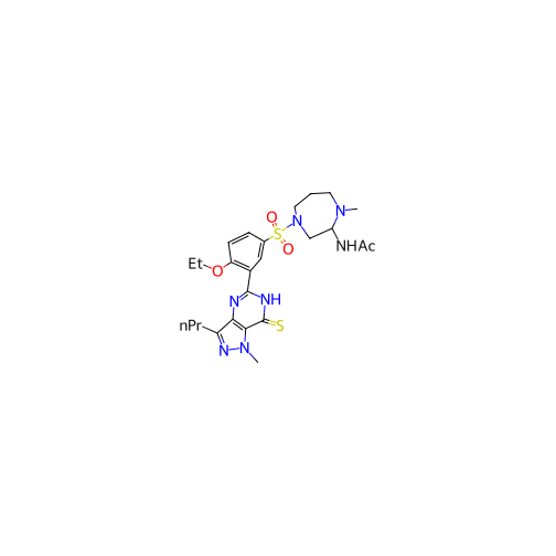 CCCc1nn(C)c2c(=S)[nH]c(-c3cc(S(=O)(=O)N4CCCN(C)C(NC(C)=O)C4)ccc3OCC)nc12